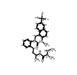 CN[C@@H](C)C(=O)NC(C)CCc1ccccc1N(C=O)Cc1c(OC)ccc2cc(C(F)(F)F)ccc12